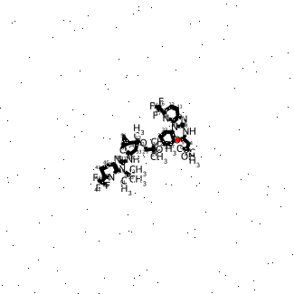 CC(C)(O)CC(=O)Nc1nc2ccc(C(F)(F)F)nc2n1-c1ccc(OC(C)(C)COC(C)(CC(=O)Nc2nc3ccc(C(F)(F)F)nc3n2C(C)(C)C)C2CC2)cc1